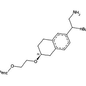 CCCCCOCCO[C@H]1CCc2cc(C(CN)CCCC)ccc2C1